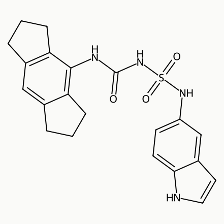 O=C(Nc1c2c(cc3c1CCC3)CCC2)NS(=O)(=O)Nc1ccc2[nH]ccc2c1